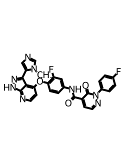 Cn1cncc1-c1n[nH]c2nccc(Oc3ccc(NC(=O)c4ccnn(-c5ccc(F)cc5)c4=O)cc3F)c12